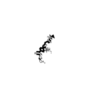 CCOc1cncc(C2=C[C@@H](F)C(CCCc3cncc(NS(=O)(=O)C4CC4)n3)(C(N)=O)C=C2)n1